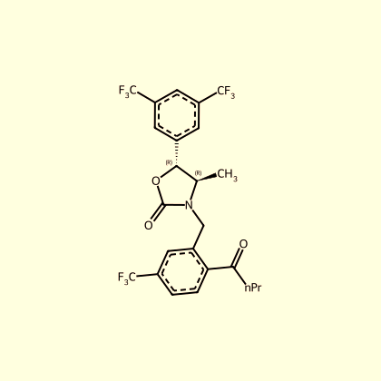 CCCC(=O)c1ccc(C(F)(F)F)cc1CN1C(=O)O[C@H](c2cc(C(F)(F)F)cc(C(F)(F)F)c2)[C@H]1C